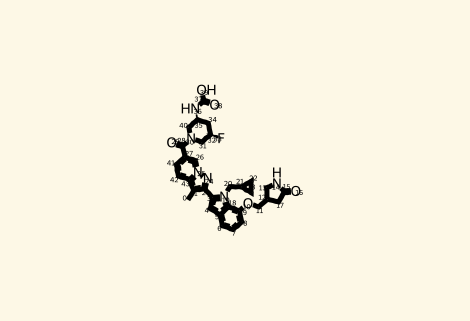 Cc1c(-c2cc3cccc(OCC4CNC(=O)C4)c3n2CC2CC2)nn2cc(C(=O)N3C[C@H](F)C[C@@H](NC(=O)O)C3)ccc12